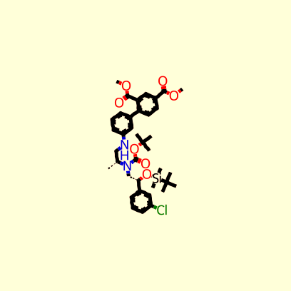 COC(=O)c1ccc(-c2cccc(NC[C@@H](C)N(C[C@H](O[Si](C)(C)C(C)(C)C)c3cccc(Cl)c3)C(=O)OC(C)(C)C)c2)c(C(=O)OC)c1